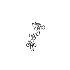 CN1C(=O)NC(=O)[C@@]12Cc1ccc(NC(=O)CN(Cc3ccccc3)C(=O)C3(C(F)(F)F)CC3)cc1C2